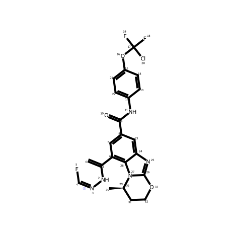 C=C(N/N=C\F)c1cc(C(=O)Nc2ccc(OC(F)(F)Cl)cc2)cc2nc3n(c12)[C@H](C)CCO3